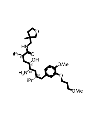 COCCCOc1cc(C[C@@H](C[C@H](N)[C@@H](O)C[C@H](C(=O)NCC2(C)CCOC2)C(C)C)C(C)C)ccc1OC